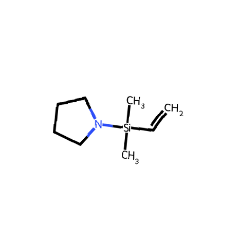 C=C[Si](C)(C)N1CCCC1